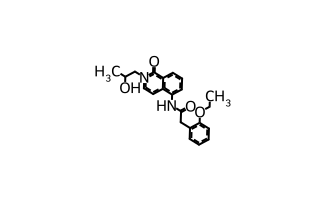 CCOc1ccccc1CC(=O)Nc1cccc2c(=O)n(CC(C)O)ccc12